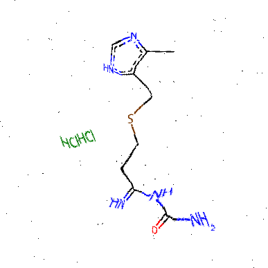 Cc1nc[nH]c1CSCCC(=N)NC(N)=O.Cl.Cl